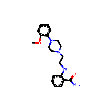 COc1ccccc1N1CCN(CCNc2ccccc2C(N)=O)CC1